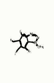 On1nnc2c(F)c(F)c(F)c(F)c21